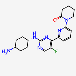 N[C@H]1CC[C@H](Nc2ncc(F)c(-c3cccc(N4CCCCC4=O)n3)n2)CC1